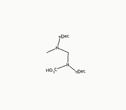 CCCCCCCCCCN(C)CN(CCCCCCCCCC)C(=O)O